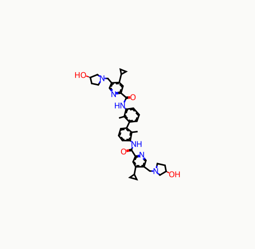 Cc1c(NC(=O)c2cc(C3CC3)c(CN3CC[C@@H](O)C3)cn2)cccc1-c1cccc(NC(=O)c2cc(C3CC3)c(CN3CC[C@@H](O)C3)cn2)c1C